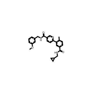 COc1cccc(CNC(=O)c2ccc(-c3cc(C(=O)NCC4CC4)ccc3C)nc2)c1